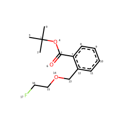 CC(C)(C)OC(=O)c1ccccc1COCCF